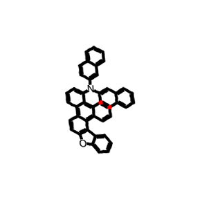 c1ccc2cc(N(c3ccc4ccccc4c3)c3cccc4c5ccc6oc7ccccc7c6c5c5ccccc5c34)ccc2c1